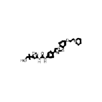 CC(C)(CO)c1cc(NC(=O)Nc2ccc(-c3cn4c(n3)sc3cc(OCCN5CCCCC5)ccc34)cc2)no1